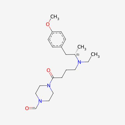 CCN(CCCC(=O)N1CCN(C=O)CC1)[C@@H](C)Cc1ccc(OC)cc1